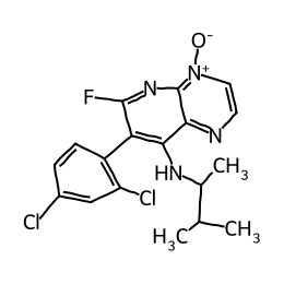 CC(C)C(C)Nc1c(-c2ccc(Cl)cc2Cl)c(F)nc2c1ncc[n+]2[O-]